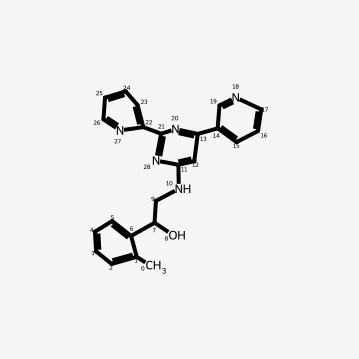 Cc1ccccc1C(O)CNc1cc(-c2cccnc2)nc(-c2ccccn2)n1